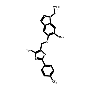 COc1cc2c(ccn2CC(=O)O)cc1OCc1sc(-c2ccc(C(F)(F)F)cc2)nc1C